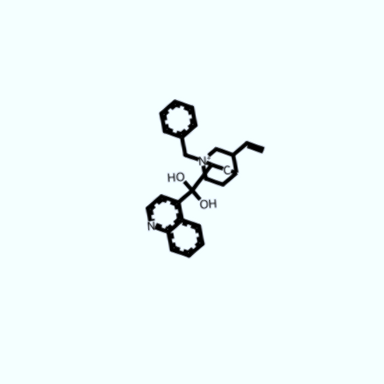 C=CC1C[N+]2(Cc3ccccc3)CCC1CC2C(O)(O)c1ccnc2ccccc12